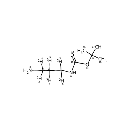 [2H]C([2H])(N)C([2H])([2H])C([2H])([2H])NC(=O)OC(C)(C)C